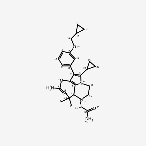 CC(C)(C)C1c2c(OC(N)=O)c(-c3cccc(OCC4CC4)c3)c(C3CC3)n2CCN1OC(N)=O